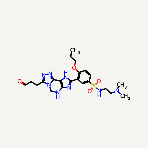 CCCOc1ccc(S(=O)(=O)NCCN(C)C)cc1-c1nc2c([nH]1)-c1nnc(CCC=O)n1CN2